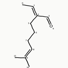 C/C=C(/C=O)CCCC=C(C)C